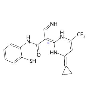 N=C/C(C(=O)Nc1ccccc1S)=C1\NC(C(F)(F)F)=CC(=C2CC2)N1